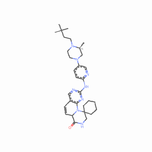 C[C@H]1CN(c2ccc(Nc3ncc4c(n3)N3C(C=C4)C(=O)NCC34CCCCC4)nc2)CCN1CCC(C)(C)C